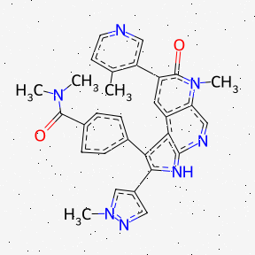 Cc1ccncc1-c1cc2c3c(-c4ccc(C(=O)N(C)C)cc4)c(-c4cnn(C)c4)[nH]c3ncc2n(C)c1=O